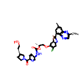 COc1cnc2c(-c3nc4cc(F)c(OC[C@@H](C)OC(=O)Nc5ccc(C(=O)N6CC[C@@H](CCO)C6)nc5)cc4s3)cc(C)cc2n1